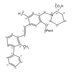 CCCCCOc1cc(/C=C/c2cccc(-c3ccccc3)c2C)c(C)cc1CN1CCCC[C@H]1C(=O)O